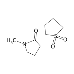 CN1CCCC1=O.O=S1(=O)CCCC1